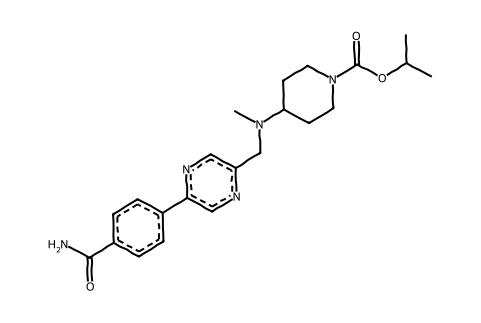 CC(C)OC(=O)N1CCC(N(C)Cc2cnc(-c3ccc(C(N)=O)cc3)cn2)CC1